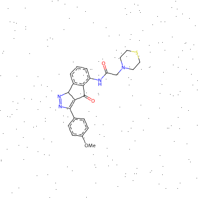 COc1ccc(C2=C3C(=O)c4c(NC(=O)CN5CCSCC5)cccc4C3N=N2)cc1